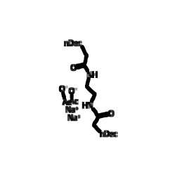 CC(=O)[O-].CC(=O)[O-].CCCCCCCCCCCC(=O)NCCNC(=O)CCCCCCCCCCC.[Na+].[Na+]